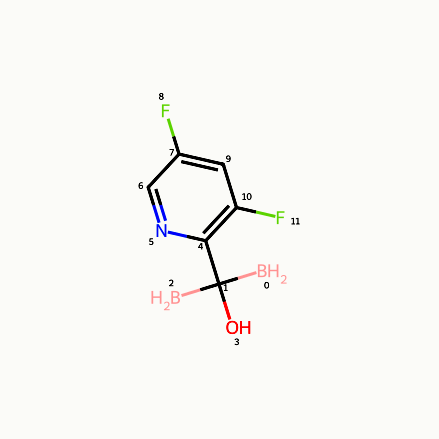 BC(B)(O)c1ncc(F)cc1F